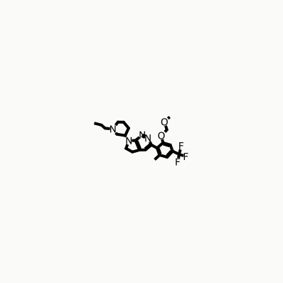 CCCN1CCC[C@@H](N2CCc3cc(-c4c(C)cc(C(F)(F)F)cc4OCOC)nnc32)C1